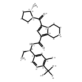 CC[C@@H](NC(=O)c1cc(C(=O)N2CCC[C@@H]2C)n2c1COCC2)c1cnc(C(F)(F)F)c(F)c1